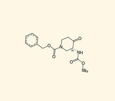 CC(C)(C)OC(=O)N[C@@H]1CN(C(=O)OCc2ccccc2)CCC1=O